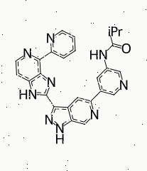 CC(C)C(=O)Nc1cncc(-c2cc3c(-c4nc5c(-c6ccccn6)nccc5[nH]4)n[nH]c3cn2)c1